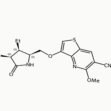 CC[C@@H]1[C@H](F)C(=O)N[C@@H]1COc1csc2cc(C#N)c(OC)nc12